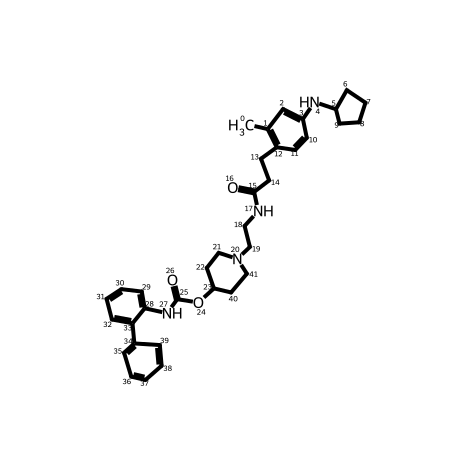 Cc1cc(NC2CCCC2)ccc1CCC(=O)NCCN1CCC(OC(=O)Nc2ccccc2-c2ccccc2)CC1